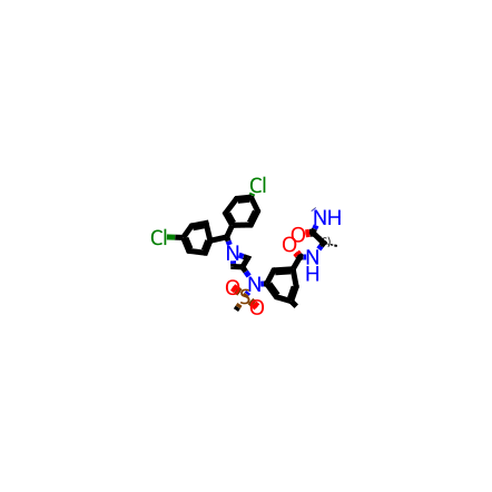 CNC(=O)[C@H](C)NC(=O)c1cc(C)cc(N(C2CN(C(c3ccc(Cl)cc3)c3ccc(Cl)cc3)C2)S(C)(=O)=O)c1